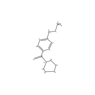 C=C(c1ccc(OC[SiH3])cc1)C1CCCCC1